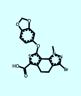 Cn1nc(Br)c2c1-c1c(Oc3ccc4c(c3)OCO4)sc(C(=O)O)c1CC2